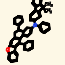 CC1(C)c2ccccc2-c2ccc(N(C3=CC=C4c5c(cc6oc7ccccc7c6c5-c5ccccc5)CC(c5ccccc5)C4C3)c3ccccc3)cc21